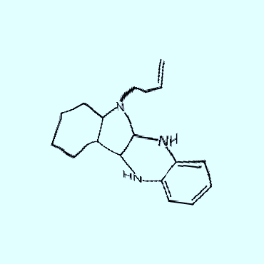 C=CCN1C2CCCCC2C2Nc3ccccc3NC21